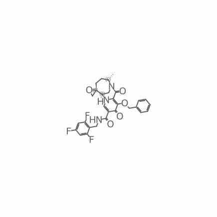 C[C@H]1CC[C@]2(CO2)[C@H]2CN1C(=O)c1c(OCc3ccccc3)c(=O)c(C(=O)NCc3c(F)cc(F)cc3F)cn12